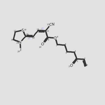 C=CC(=O)CCCCOC(=O)/C(C#N)=C\C=C1/SCCN1I